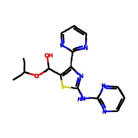 CC(C)OC(O)c1sc(Nc2ncccn2)nc1-c1ncccn1